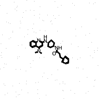 CN(C)c1cc(N[C@H]2CC[C@@H](NC(=O)CCc3ccccc3)CC2)nc2ccccc12